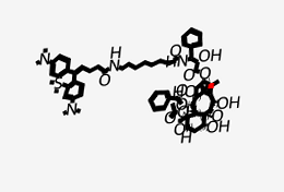 CC(=O)O[C@@]12CO[C@@H]1C[C@H](O)[C@@]1(C)C(=O)[C@H](O)C3=C(C)[C@@H](OC(=O)C(O)C(NC(=O)CCCCCCCNC(=O)CCC=C4c5ccc(N(C)C)cc5S(C)(C)c5cc(N(C)C)ccc54)c4ccccc4)C[C@@](O)([C@@H](OC(=O)c4ccccc4)[C@H]21)C3(C)C